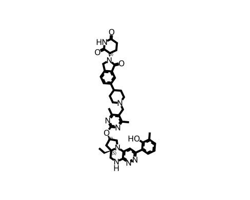 CC[C@]12CNc3nnc(-c4cccc(C)c4O)cc3N1C[C@H](Oc1nc(C)c(CN3CCC(c4ccc5c(c4)C(=O)N([C@H]4CCC(=O)NC4=O)C5)CC3)c(C)n1)C2